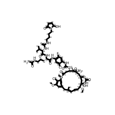 COc1cc2cc(c1Cl)N(C)C(=O)C[C@H](OC(=O)Nc1cc(F)c(NC(=O)[C@H](CCCNC(N)=O)NC(=O)[C@@H](NC(=S)NCCCCN3C(=O)C=CC3O)C(C)C)cc1Cl)[C@]1(C)O[C@H]1[C@H](C)[C@@H]1C[C@@](O)(NC(=O)O1)[C@H](OC)/C=C/C=C(\C)C2